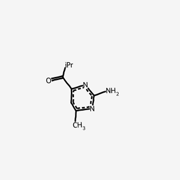 Cc1cc(C(=O)C(C)C)nc(N)n1